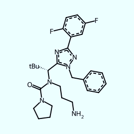 CC(C)(C)[C@H](c1nc(-c2cc(F)ccc2F)nn1Cc1ccccc1)N(CCCN)C(=O)N1CCCC1